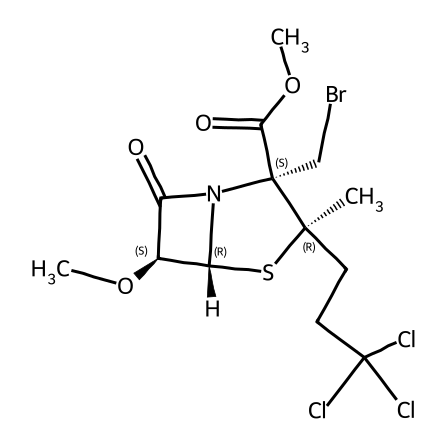 COC(=O)[C@]1(CBr)N2C(=O)[C@H](OC)[C@H]2S[C@]1(C)CCC(Cl)(Cl)Cl